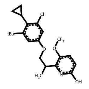 CC(COc1cc(Cl)c(C2CC2)c(C(C)(C)C)c1)c1nc(O)ccc1OC(F)(F)F